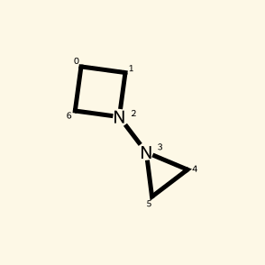 C1CN(N2CC2)C1